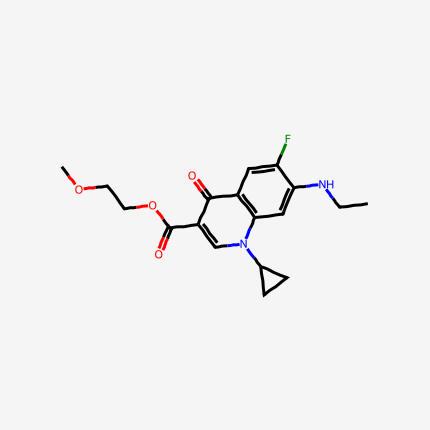 CCNc1cc2c(cc1F)c(=O)c(C(=O)OCCOC)cn2C1CC1